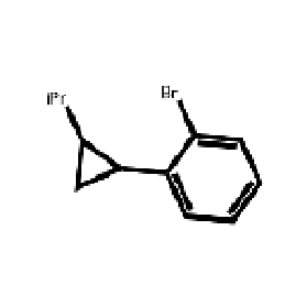 CC(C)C1CC1c1ccccc1Br